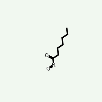 CCCCCCC(=O)N=O